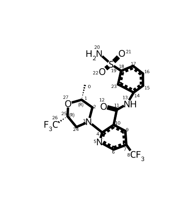 C[C@@H]1CN(c2ncc(C(F)(F)F)cc2C(=O)Nc2cccc(S(N)(=O)=O)c2)C[C@H](C(F)(F)F)O1